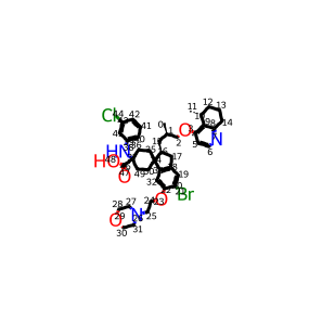 C[C@@H](COc1ccnc2c1[C@H](C)CCC2)C[C@H]1Cc2cc(Br)c(OCCN3CCOCC3)cc2C12CCC(Nc1cccc(Cl)c1)(C(=O)O)CC2